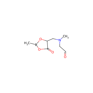 CB1OC(=O)C(CN(C)CC=O)O1